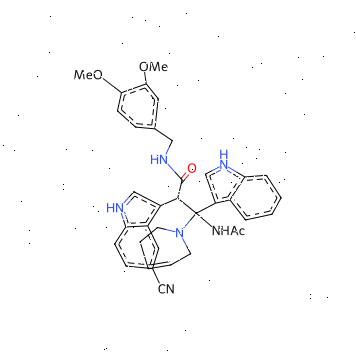 COc1ccc(CNC(=O)C(c2c[nH]c3ccc(C#N)cc23)C(NC(C)=O)(c2c[nH]c3ccccc23)N2CC=CCC2)cc1OC